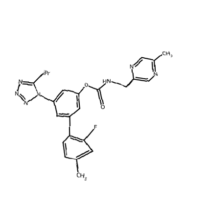 Cc1ccc(-c2cc(OC(=O)NCc3cnc(C)cn3)cc(-n3nnnc3C(C)C)c2)c(F)c1